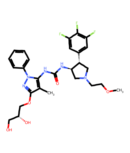 COCCN1C[C@@H](NC(=O)Nc2c(C)c(OC[C@H](O)CO)nn2-c2ccccc2)[C@H](c2cc(F)c(F)c(F)c2)C1